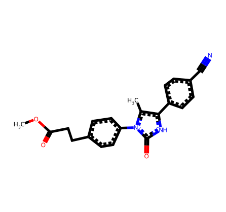 COC(=O)CCc1ccc(-n2c(C)c(-c3ccc(C#N)cc3)[nH]c2=O)cc1